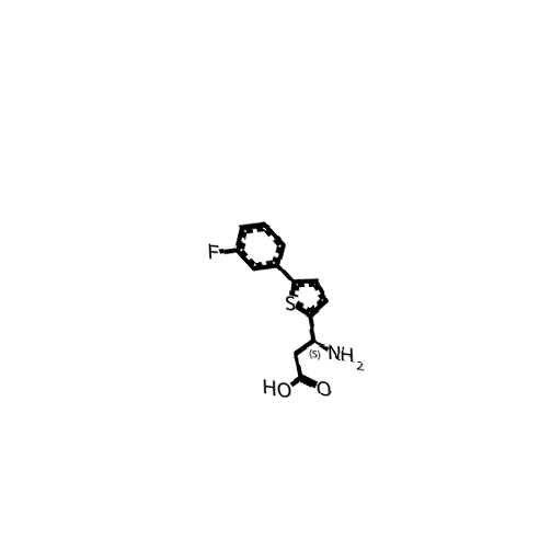 N[C@@H](CC(=O)O)c1ccc(-c2cccc(F)c2)s1